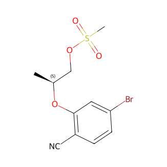 C[C@@H](COS(C)(=O)=O)Oc1cc(Br)ccc1C#N